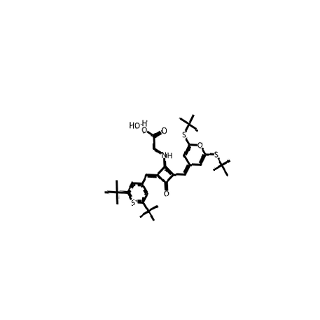 CC(C)(C)SC1=CC(=CC2=C(NCC(=O)O)C(=Cc3cc(C(C)(C)C)[s+]c(C(C)(C)C)c3)C2=O)C=C(SC(C)(C)C)O1.[OH-]